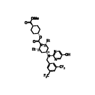 CC[C@@H]1C[C@H](N(Cc2cc(C(F)(F)F)cc(C(F)(F)F)c2)c2ncc(O)cn2)C[C@H](CC)N1C(=O)O[C@H]1CC[C@H](C(=O)OC)CC1